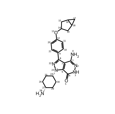 Nc1n[nH]c(=O)c2c1c(-c1ccc(OC3CC4CC4C3)cc1)nn2[C@H]1CC[C@@H](N)CC1